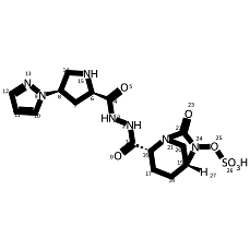 O=C(NNC(=O)[C@H]1C[C@@H](n2cccn2)CN1)[C@H]1CC[C@@H]2CN1C(=O)N2OS(=O)(=O)O